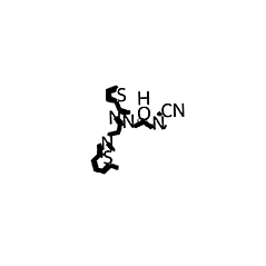 CC1=CC=CC2=CN(CCc3nc(-c4cccs4)cn3C[C@@H](O)CN(C)CC#N)C=S12